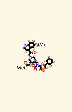 COC(=O)C[C@@H]1CN(C[C@H](O)c2ccnc3ccc(OC)cc23)CC[C@@]12CN(C1=COC=C(C3=CC=CCC3)O1)C(=O)O2